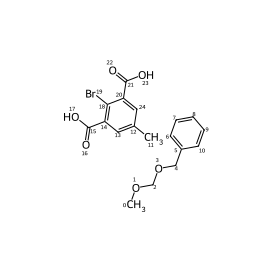 COCOCc1ccccc1.Cc1cc(C(=O)O)c(Br)c(C(=O)O)c1